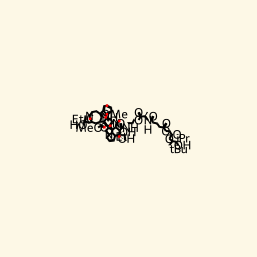 CCC1(O)CC2CN(CCc3c([nH]c4ccccc34)[C@@](C(=O)OC)(c3cc4c(cc3OC)N(C)C3C45CCN4CC=C[C@](CC)(C45)[C@@H](O)[C@]3(O)C(=O)NCCCOC(=O)[C@@H](C)NC(=O)CCCC(=O)OCC(OC(C)C)OC(CO)CC(C)(C)C)C2)C1